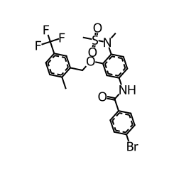 Cc1ccc(C(F)(F)F)cc1COc1cc(NC(=O)c2ccc(Br)cc2)ccc1N(C)S(C)(=O)=O